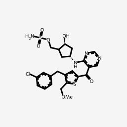 COCc1sc(C(=O)c2cncnc2N[C@@H]2CC(COS(N)(=O)=O)[C@@H](O)C2)cc1Cc1cccc(Cl)c1